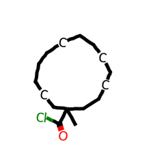 CC1(C(=O)Cl)CCCCCCCCCCCCC1